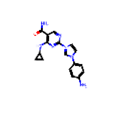 NC(=O)c1cnc(-[n+]2ccn(-c3ccc(N)cc3)c2)nc1NC1CC1